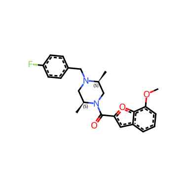 COc1cccc2cc(C(=O)N3C[C@H](C)N(Cc4ccc(F)cc4)C[C@@H]3C)oc12